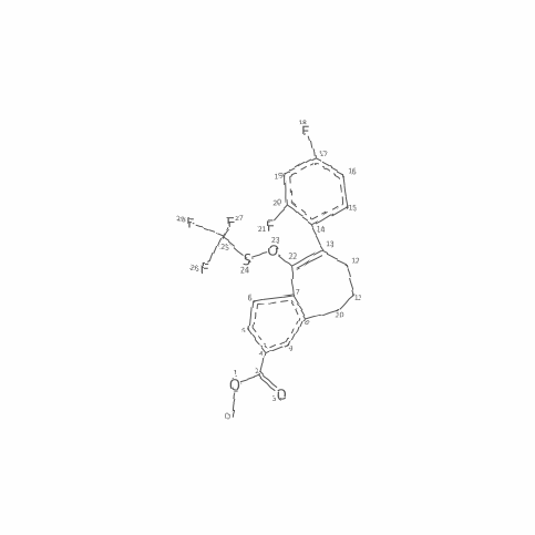 COC(=O)c1ccc2c(c1)CCCC(c1ccc(F)cc1F)=C2OSC(F)(F)F